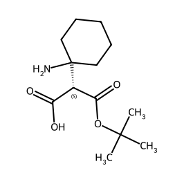 CC(C)(C)OC(=O)[C@H](C(=O)O)C1(N)CCCCC1